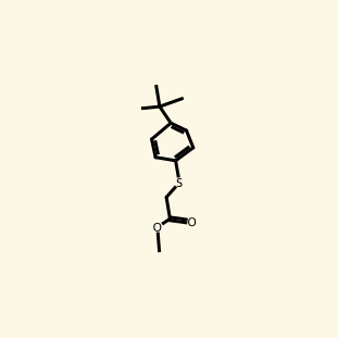 COC(=O)CSc1ccc(C(C)(C)C)cc1